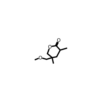 COCC1(C)COC(=O)C(C)C1